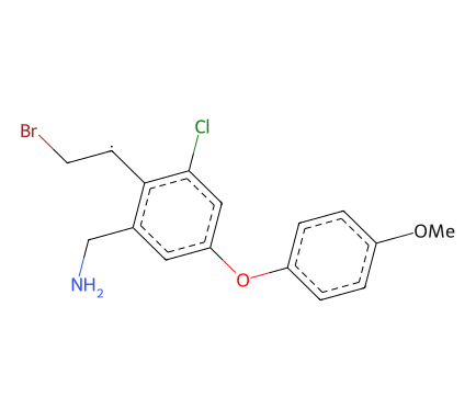 COc1ccc(Oc2cc(Cl)c([CH]CBr)c(CN)c2)cc1